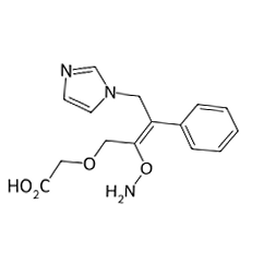 NO/C(COCC(=O)O)=C(/Cn1ccnc1)c1ccccc1